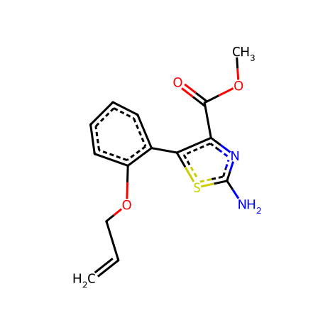 C=CCOc1ccccc1-c1sc(N)nc1C(=O)OC